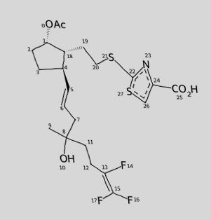 CC(=O)O[C@H]1CC[C@H](/C=C/CC(C)(O)CCC(F)=C(F)F)[C@H]1CCSc1nc(C(=O)O)cs1